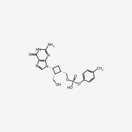 Cc1ccc(OP(=O)(O)OC[C@H]2C[C@@H](n3cnc4c(=O)[nH]c(N)nc43)[C@H]2CO)cc1